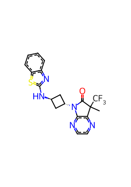 CC1(C(F)(F)F)C(=O)N([C@H]2C[C@H](Nc3nc4ccccc4s3)C2)c2nccnc21